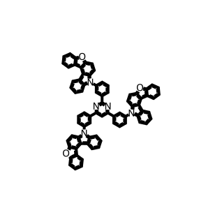 c1cc(-c2cc(-c3cccc(-n4c5ccccc5c5c6c(ccc54)oc4ccccc46)c3)nc(-c3cccc(-n4c5ccccc5c5c6c(ccc54)oc4ccccc46)c3)n2)cc(-n2c3ccccc3c3c4c(ccc32)oc2ccccc24)c1